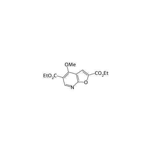 CCOC(=O)c1cc2c(OC)c(C(=O)OCC)cnc2o1